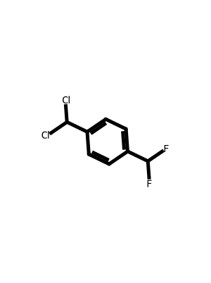 FC(F)c1ccc(C(Cl)Cl)cc1